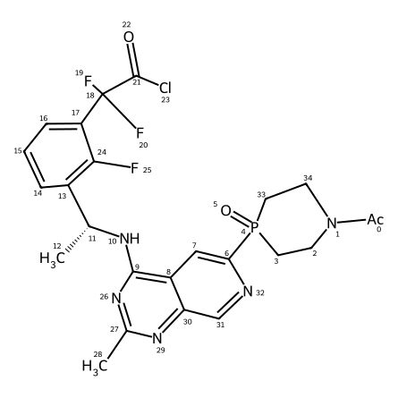 CC(=O)N1CCP(=O)(c2cc3c(N[C@H](C)c4cccc(C(F)(F)C(=O)Cl)c4F)nc(C)nc3cn2)CC1